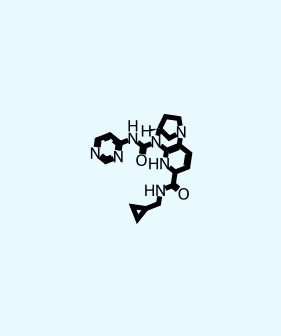 O=C(NCC1CC1)C1C=CC2=C(N1)N(C(=O)Nc1ccncn1)[C@H]1CCN2C1